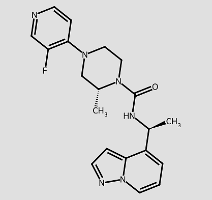 C[C@H](NC(=O)N1CCN(c2ccncc2F)C[C@H]1C)c1cccn2nccc12